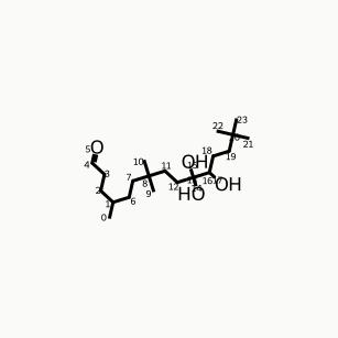 CC(CCC=O)CCC(C)(C)CCC(O)(O)C(O)CCC(C)(C)C